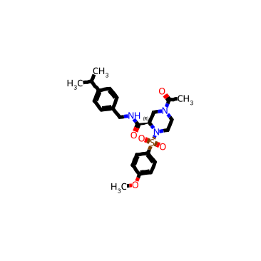 COc1ccc(S(=O)(=O)N2CCN(C(C)=O)C[C@@H]2C(=O)NCc2ccc(C(C)C)cc2)cc1